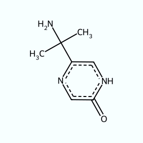 CC(C)(N)c1c[nH]c(=O)cn1